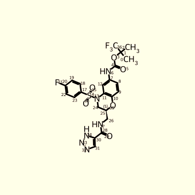 CC(C)(OC(=O)Nc1ccc2c(c1)N(S(=O)(=O)c1ccc(F)cc1)C[C@H](CNC(=O)c1cnn[nH]1)O2)C(F)(F)F